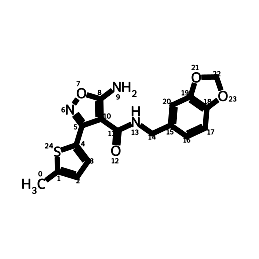 Cc1ccc(-c2noc(N)c2C(=O)NCc2ccc3c(c2)OCO3)s1